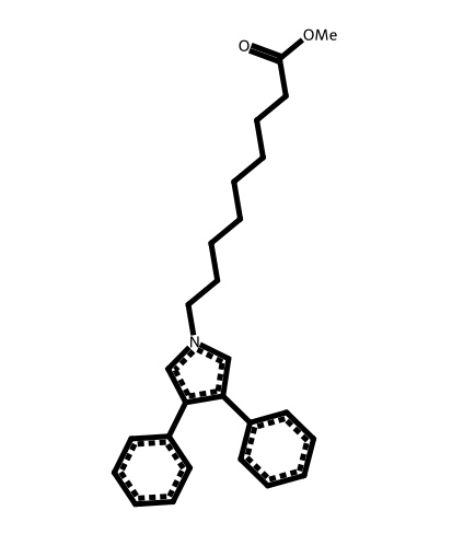 COC(=O)CCCCCCCCn1cc(-c2ccccc2)c(-c2ccccc2)c1